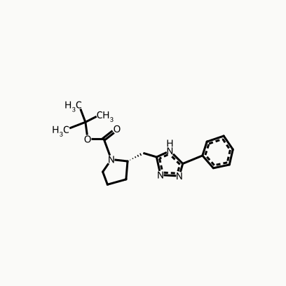 CC(C)(C)OC(=O)N1CCC[C@H]1Cc1nnc(-c2ccccc2)[nH]1